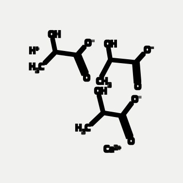 CC(O)C(=O)[O-].CC(O)C(=O)[O-].CC(O)C(=O)[O-].[Ca+2].[H+]